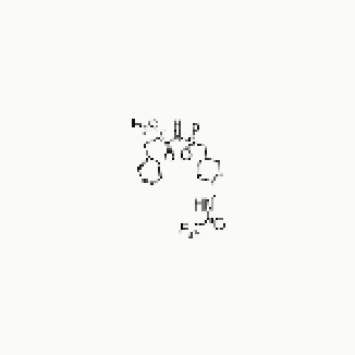 C[C@@H](Cc1ccccc1)C(=O)NS(=O)(=O)Cc1ccc(CNC(=O)C(F)(F)F)cc1